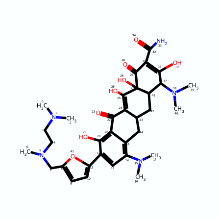 CN(C)CCN(C)Cc1ccc(-c2cc(N(C)C)c3c(c2O)C(=O)C2=C(O)C4(O)C(=O)C(C(N)=O)=C(O)C(N(C)C)C4CC2C3)o1